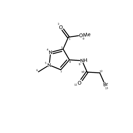 COC(=O)c1nn(C)cc1NC(=O)CBr